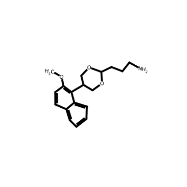 COc1ccc2ccccc2c1C1COC(CCCN)OC1